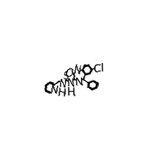 CN1C(=O)C(NC(=S)NCc2ccccn2)N=C(c2ccccc2)c2cc(Cl)ccc21